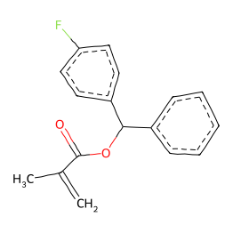 C=C(C)C(=O)OC(c1ccccc1)c1ccc(F)cc1